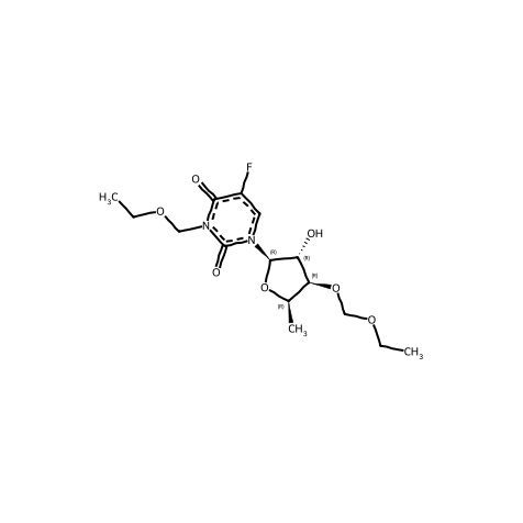 CCOCO[C@@H]1[C@@H](O)[C@H](n2cc(F)c(=O)n(COCC)c2=O)O[C@@H]1C